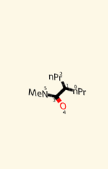 CCCC(CCC)C(=O)NC